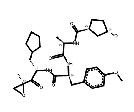 COc1ccc(C[C@H](NC(=O)[C@@H](C)NC(=O)[C@H]2CC[C@H](O)C2)C(=O)N[C@@H](CC2CCCC2)C(=O)[C@]2(C)CO2)cc1